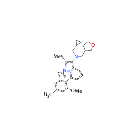 COc1cc(C)cc(C)c1-c1cccc2c(N(CC3CC3)CC3CCOC3)c(SC)nn12